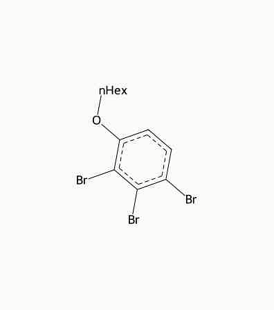 CCCCCCOc1ccc(Br)c(Br)c1Br